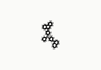 c1ccc(N(c2ccc(-c3cccc4ccccc34)cc2)c2ccc(-c3cc4ccccc4c4ccccc34)cc2)cc1